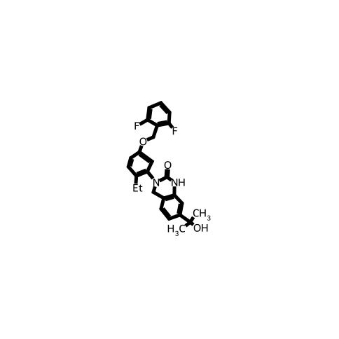 CCc1ccc(OCc2c(F)cccc2F)cc1N1Cc2ccc(C(C)(C)O)cc2NC1=O